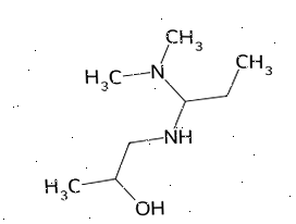 CCC(NCC(C)O)N(C)C